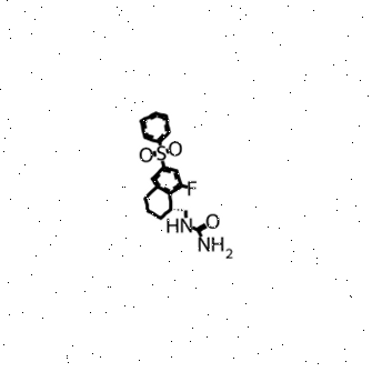 NC(=O)NC[C@@H]1CCCc2cc(S(=O)(=O)c3ccccc3)cc(F)c21